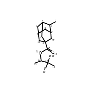 CC1C2CC3CC1CC(C(=O)OC(C)C(C)(F)F)(C3)C2